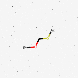 CC(=O)SCOC(C)C